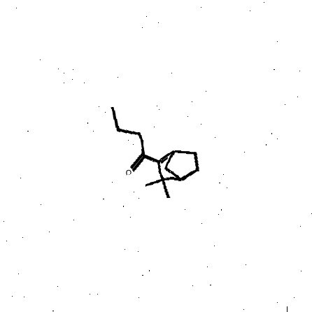 CCCC(=O)C1=C2CCC(C2)C1(C)C